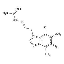 Cn1c(=O)c2c(ncn2CC=NNC(=N)N)n(C)c1=O